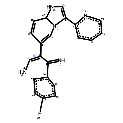 N=C(/C(=C\N)C1=CN2C(c3ccccn3)=CNC2C=C1)c1ccc(F)cc1